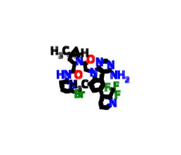 Cc1cc(-c2cccnc2C(F)(F)F)cc2c3c(N)ncnc3n(CC(=O)N3C(C(=O)Nc4cccc(Br)n4)C[C@@]4(C)C[C@H]34)c12